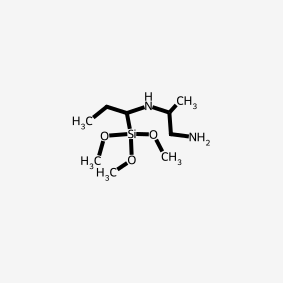 CCC(NC(C)CN)[Si](OC)(OC)OC